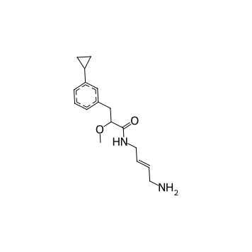 COC(Cc1cccc(C2CC2)c1)C(=O)NCC=CCN